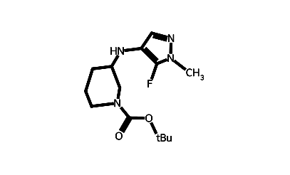 Cn1ncc(NC2CCCN(C(=O)OC(C)(C)C)C2)c1F